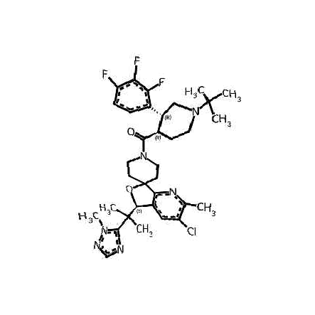 Cc1nc2c(cc1Cl)[C@@H](C(C)(C)c1ncnn1C)OC21CCN(C(=O)[C@@H]2CCN(C(C)(C)C)C[C@H]2c2ccc(F)c(F)c2F)CC1